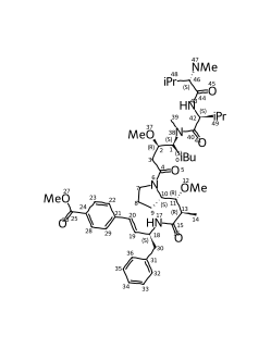 CC[C@H](C)[C@@H]([C@@H](CC(=O)N1CCC[C@H]1[C@H](OC)[C@@H](C)C(=O)N[C@H](C=Cc1ccc(C(=O)OC)cc1)Cc1ccccc1)OC)N(C)C(=O)[C@@H](NC(=O)[C@@H](NC)C(C)C)C(C)C